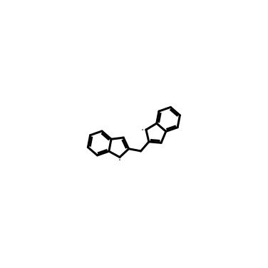 [CH]1C(CC2=Cc3ccccc3[CH]2)=Cc2ccccc21